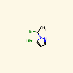 Br.CC(Br)n1cccn1